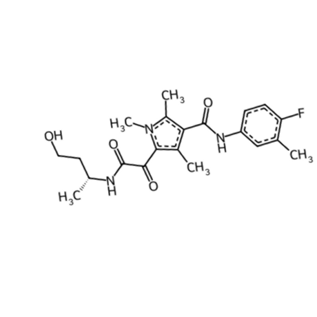 Cc1cc(NC(=O)c2c(C)c(C(=O)C(=O)N[C@H](C)CCO)n(C)c2C)ccc1F